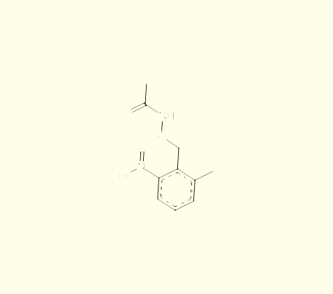 CC(=O)NOCc1c(C)cccc1[N+](=O)[O-]